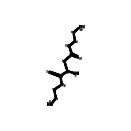 O=C(OCCO)C(O)CC(=S)OCCO